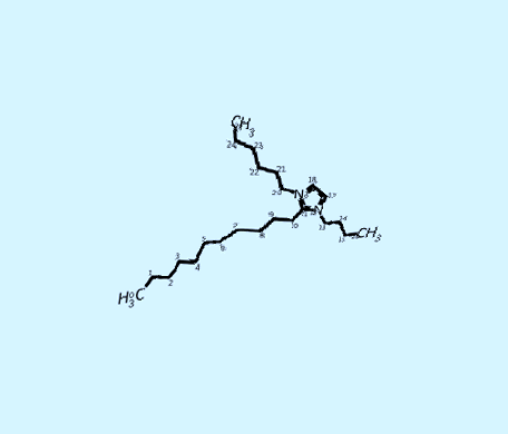 CCCCCCCCCCCc1n(CCCC)cc[n+]1CCCCCC